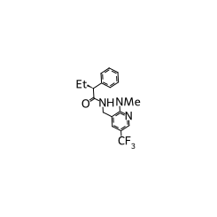 CC[C@H](C(=O)NCc1cc(C(F)(F)F)cnc1NC)c1ccccc1